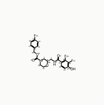 O=C(NC[C@@H]1CN(C(=O)OCc2ccc(F)cc2)CCO1)c1ccc(O)c(F)c1F